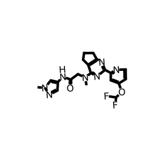 CN(CC(=O)Nc1cnn(C)c1)c1nc(-c2cc(OC(F)F)ccn2)nc2c1CCC2